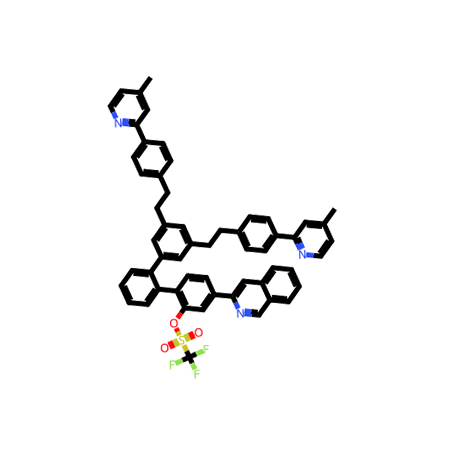 Cc1ccnc(-c2ccc(CCc3cc(CCc4ccc(-c5cc(C)ccn5)cc4)cc(-c4ccccc4-c4ccc(-c5cc6ccccc6cn5)cc4OS(=O)(=O)C(F)(F)F)c3)cc2)c1